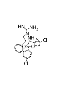 N=C(N)N1CC(c2ccccc2)C(c2ccc(Cl)s2)(S(=O)(=O)c2ccc(Cl)cc2)N1